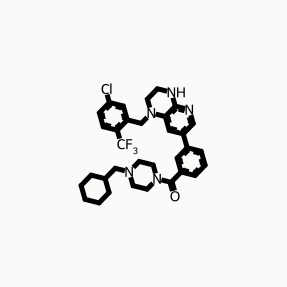 O=C(c1cccc(-c2cnc3c(c2)N(Cc2cc(Cl)ccc2C(F)(F)F)CCN3)c1)N1CCN(CC2CCCCC2)CC1